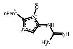 [CH2]CCCCc1ncc(NC(=N)N)[s+]1[O-]